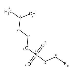 CC(O)CCOS(=O)(=O)CCF